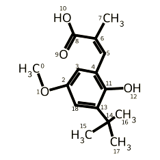 COc1cc(C=C(C)C(=O)O)c(O)c(C(C)(C)C)c1